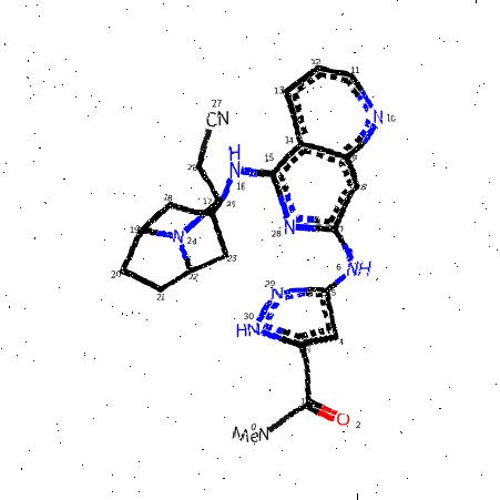 CNC(=O)c1cc(Nc2cc3ncccc3c(NC3CC4CCC(C3)N4CCC#N)n2)n[nH]1